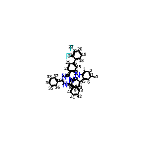 Cc1ccc2c(c1)c1ccccc1n2-c1cc(-c2cccc(F)c2F)ccc1-c1nc(-c2ccccc2)nc(-c2ccccc2)n1